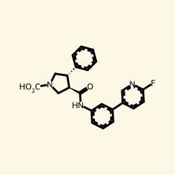 O=C(Nc1cccc(-c2ccc(F)nc2)c1)[C@H]1CN(C(=O)O)C[C@@H]1c1ccccc1